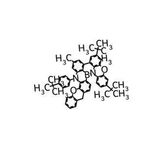 Cc1cc2c3c(c1)N(c1ccc(C(C)(C)C)cc1)c1c(ccc4c1Oc1ccccc1C4)B3N1c3ccc(C(C)(C)C)cc3Oc3cc(C(C)(C)C)cc-2c31